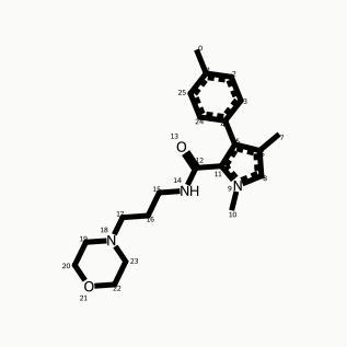 Cc1ccc(-c2c(C)cn(C)c2C(=O)NCCCN2CCOCC2)cc1